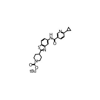 CC(C)(C)OC(=O)N1CCC(c2nc3cc(NC(=O)c4ccc(C5CC5)nc4)ccc3s2)CC1